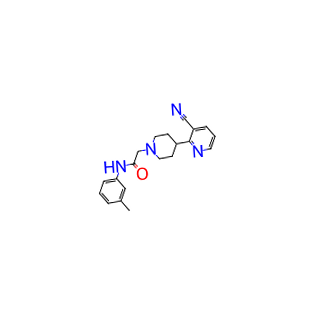 Cc1cccc(NC(=O)CN2CCC(c3ncccc3C#N)CC2)c1